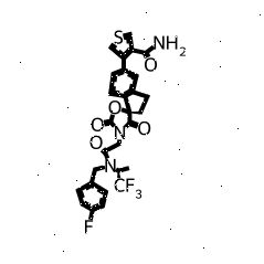 C[C@H](N(Cc1ccc(F)cc1)C(=O)CN1C(=O)O[C@@]2(CCc3cc(-c4cscc4C(N)=O)ccc32)C1=O)C(F)(F)F